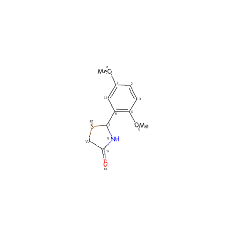 COc1ccc(OC)c(C2NC(=O)CS2)c1